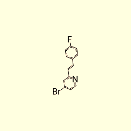 Fc1ccc(C=Cc2cc(Br)ccn2)cc1